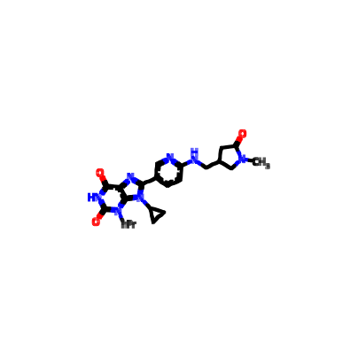 CCCn1c(=O)[nH]c(=O)c2nc(-c3ccc(NCC4CC(=O)N(C)C4)nc3)n(C3CC3)c21